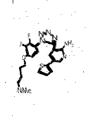 CNCCCCOc1ccc(-n2nnnc2-c2cc(-c3cccs3)cnc2N)c(F)c1F